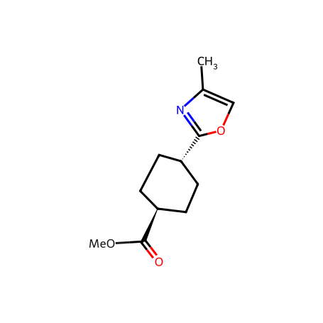 COC(=O)[C@H]1CC[C@H](c2nc(C)co2)CC1